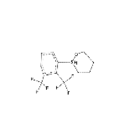 FC(F)(F)c1cccc([SiH]2CCCCO2)c1C(F)(F)F